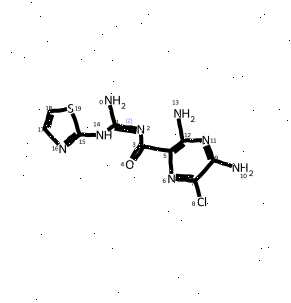 N/C(=N/C(=O)c1nc(Cl)c(N)nc1N)Nc1nccs1